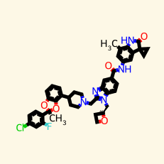 Cc1cc(NC(=O)c2ccc3c(c2)nc(CN2CCC(c4cccc5c4OC(C)(c4ccc(Cl)cc4F)O5)CC2)n3C[C@@H]2CCO2)cc2c1NC(=O)C21CC1